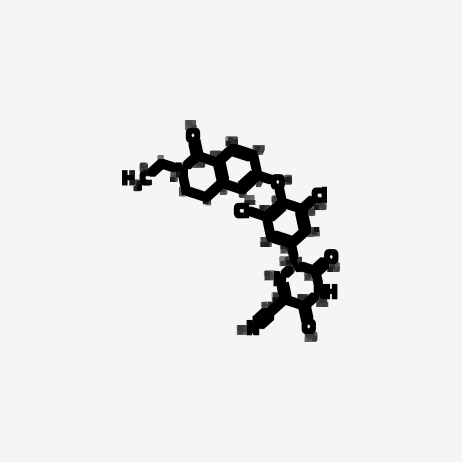 CCN1CCc2cc(Oc3c(Cl)cc(-n4nc(C#N)c(=O)[nH]c4=O)cc3Cl)ccc2C1=O